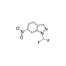 O=[N+]([O-])c1ccc2cnn(C(F)F)c2c1